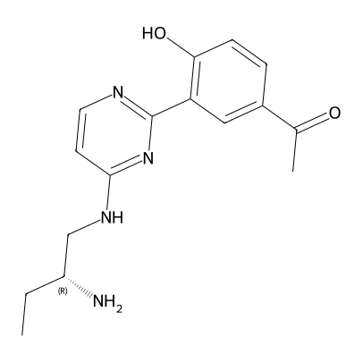 CC[C@@H](N)CNc1ccnc(-c2cc(C(C)=O)ccc2O)n1